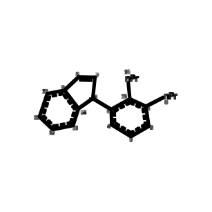 CCCc1cccc([C]2C=Cc3ccccc32)c1CCC